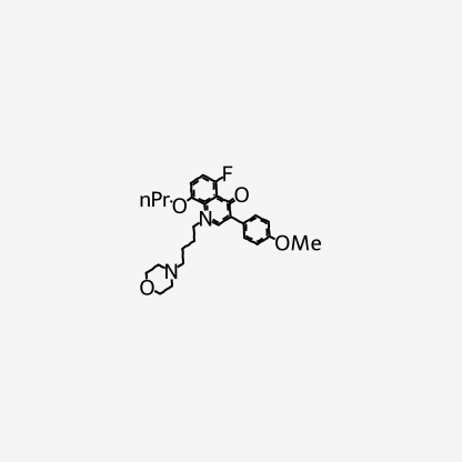 CCCOc1ccc(F)c2c(=O)c(-c3ccc(OC)cc3)cn(CCCCN3CCOCC3)c12